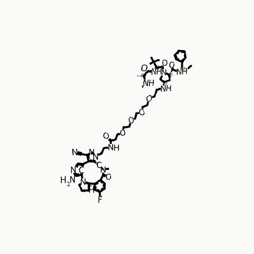 CC[C@H](NC(=O)[C@H]1C[C@@H](NCCOCCOCCOCCOCCC(=O)NCCn2nc(C#N)c3c2CN(C)C(=O)c2ccc(F)cc2[C@H]2CCCN2c2cc-3cnc2N)CN1C(=O)[C@H](NC(=O)[C@@H](C)NC)C(C)(C)C)c1ccccc1